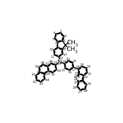 CC1(C)c2ccccc2-c2ccc(N(c3ccc(-c4cccc5c4sc4ccccc45)cc3)c3ccc4c(ccc5ccccc54)c3)cc21